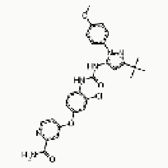 COc1ccc(-n2nc(C(C)(C)C)cc2NC(=O)Nc2ccc(Oc3ccnc(C(N)=O)c3)cc2Cl)cc1